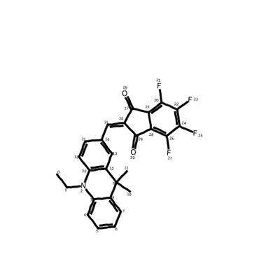 CCN1c2ccccc2C(C)(C)c2cc(C=C3C(=O)c4c(F)c(F)c(F)c(F)c4C3=O)ccc21